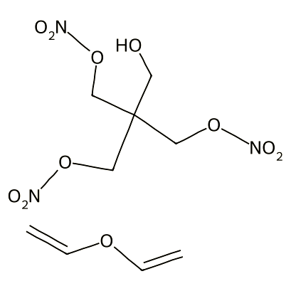 C=COC=C.O=[N+]([O-])OCC(CO)(CO[N+](=O)[O-])CO[N+](=O)[O-]